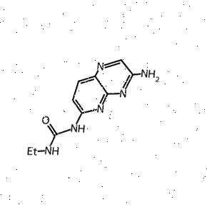 CCNC(=O)Nc1ccc2ncc(N)nc2n1